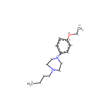 CCCCN1CCN(c2ccc(OCC)cc2)CC1